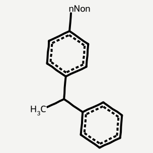 CCCCCCCCCc1ccc(C(C)c2ccccc2)cc1